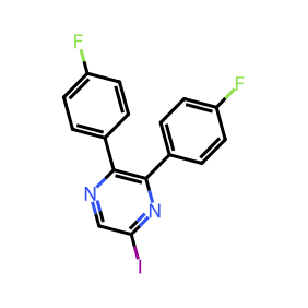 Fc1ccc(-c2ncc(I)nc2-c2ccc(F)cc2)cc1